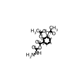 CC(=O)Oc1cccc(C(=O)OC(=O)NN)c1OC(C)=O